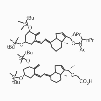 C=C1C(=CC=C2CCC[C@]3(C)C([C@H](C)OCC(=O)O)=CCC23)C[C@@H](O[Si](C)(C)C(C)(C)C)C[C@@H]1O[Si](C)(C)C(C)(C)C.C=C1C(=CC=C2CCC[C@]3(C)C([C@H](C)ON(C(C)=O)C(CCC)CCC)=CCC23)C[C@@H](O[Si](C)(C)C(C)(C)C)C[C@@H]1O[Si](C)(C)C(C)(C)C